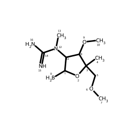 BC1OC(C)(COC)C(OC)C1N(C)C(=N)N